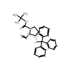 CC(C)(C)OC(=O)N1CC[C@H](SC(c2ccccc2)(c2ccccc2)c2ccccc2)[C@H]1C=O